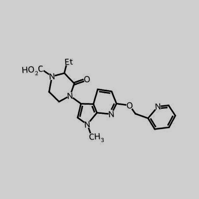 CCC1C(=O)N(c2cn(C)c3nc(OCc4ccccn4)ccc23)CCN1C(=O)O